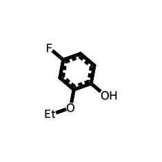 CCOc1cc(F)ccc1O